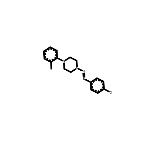 Cc1ccccc1N1CCN(N=Nc2ccc(Cl)cc2)CC1